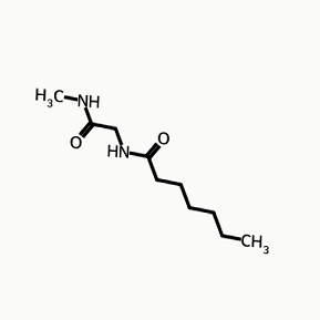 CCCCCCC(=O)NCC(=O)NC